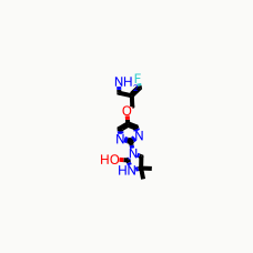 CC1(C)CN(c2ncc(OC/C(=C/F)CN)cn2)C(O)N1